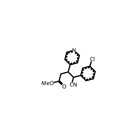 COC(=O)CC(c1ccncc1)C(C#N)c1cccc(Cl)c1